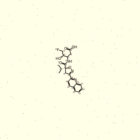 CC(C)[C@@]1(C(=O)NC(CC(=O)O)C(O)CF)CC(c2ccc3ccccc3n2)=NO1